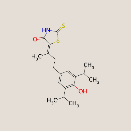 C/C(CCc1cc(C(C)C)c(O)c(C(C)C)c1)=C1/SC(=S)NC1=O